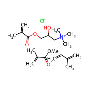 C=C(C)C(=O)OC.C=C(C)C(=O)OCC(O)C[N+](C)(C)C.C=CC(=C)C.[Cl-]